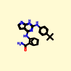 CC(C)(C)c1ccc(Nc2nc(NC3C4C=CC(C4)C3C(N)=O)c3ccnc-3[nH]2)cc1